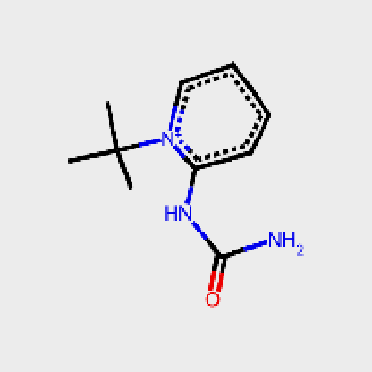 CC(C)(C)[n+]1ccccc1NC(N)=O